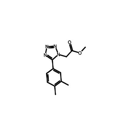 COC(=O)Cn1nnnc1-c1ccc(C)c(C)c1